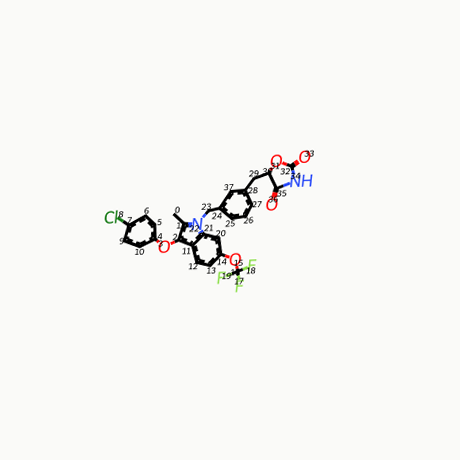 Cc1c(Oc2ccc(Cl)cc2)c2ccc(OC(F)(F)F)cc2n1Cc1cccc(CC2OC(=O)NC2=O)c1